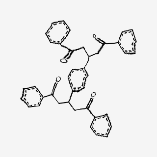 O=C(CC(CC(=O)c1ccccc1)c1ccc(C(CC(=O)c2ccccc2)CC(=O)c2ccccc2)cc1)c1ccccc1